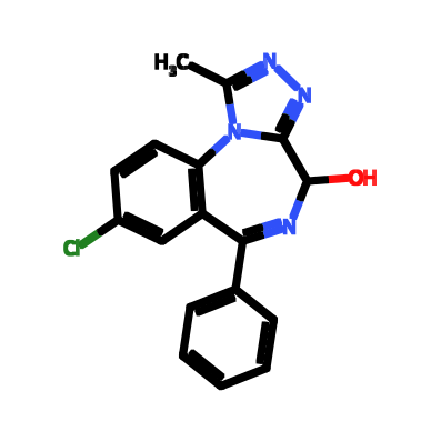 Cc1nnc2n1-c1ccc(Cl)cc1C(c1ccccc1)=NC2O